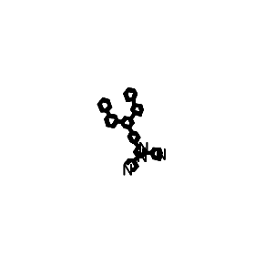 c1ccc(-c2cccc(-c3cc(-c4ccc(-c5cc(-c6ccncc6)nc(-c6ccncc6)n5)cc4)cc(-c4cccc(-c5ccccc5)c4)c3)c2)cc1